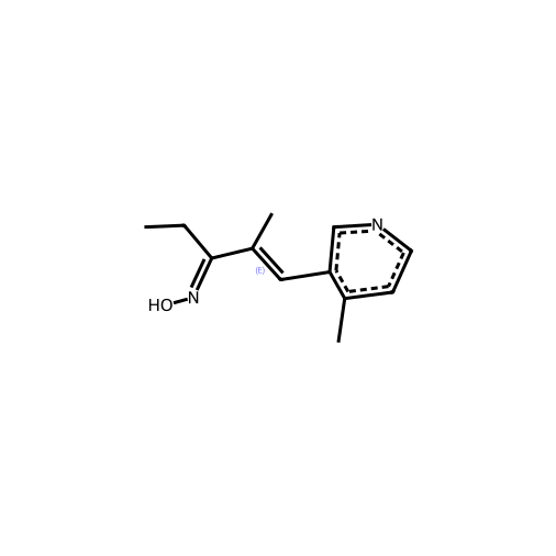 CCC(=NO)/C(C)=C/c1cnccc1C